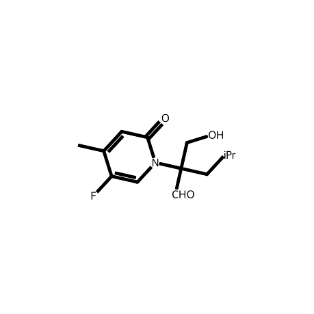 Cc1cc(=O)n(C(C=O)(CO)CC(C)C)cc1F